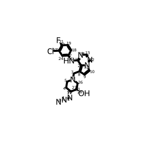 [N-]=[N+]=N[C@@H]1CCN(Cc2ccn3ncnc(Nc4ccc(F)c(Cl)c4)c23)C[C@H]1O